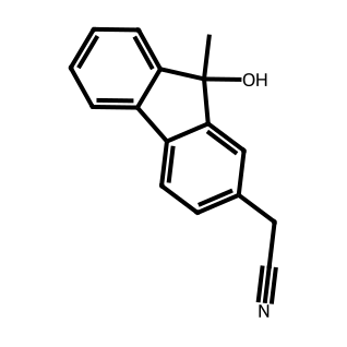 CC1(O)c2ccccc2-c2ccc(CC#N)cc21